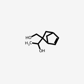 CC(O)C1(CO)CC2C=CC1C2